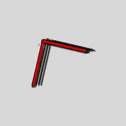 [Cr+3].[Cr+3].[Cr+3].[Cr+3].[Cr+3].[Cr+3].[Cr+3].[Cr+3].[Cr+3].[Cr+3].[Cr+3].[Cr+3].[Cr+3].[Cr+3].[Cr+3].[Cr+3].[Cr+3].[Cr+3].[Cr+3].[Cr+3].[Cr+3].[Cr+3].[Cr+3].[Cr+3].[Cr+3].[Cr+3].[Cr+3].[Cr+3].[Cr+3].[Cr+3].[Cr+3].[Cr+3].[Cr+3].[Cr+3].[Cr+3].[Cr+3].[Cr+3].[Cr+3].[Cr+3].[Cr+3].[Cr+3].[Cr+3].[Cr+3].[Cr+3].[Cr+3].[Cr+3].[Cr+3].[Cr+3].[Cr+3].[Cr+3].[Cr+3].[Cr+3].[Cr+3].[Cr+3].[Cr+3].[Cr+3].[Cr+3].[Cr+3].[Cr+3].[Cr+3].[Cr+3].[Cr+3].[Cr+3].[Cr+3].[Cr+3].[Cr+3].[Cr+3].[Cr+3].[Cr+3].[Cr+3].[Cr+3].[Cr+3].[Cr+3].[Cr+3].[Cr+3].[Cr+3].[Cr+3].[Cr+3].[Cr+3].[Cr+3].[Cr+3].[Cr+3].[Cr+3].[Cr+3].[Cr+3].[Cr+3].[Cr+3].[Cr+3].[Cr+3].[Cr+3].[Cr+3].[Cr+3].[Cr+3].[Cr+3].[Cr+3].[O-2].[O-2].[O-2].[O-2].[O-2]